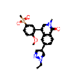 CCn1cc(-c2ccc3c(=O)n(C)cc(-c4cc(S(C)(=O)=O)ccc4OC)c3c2)cn1